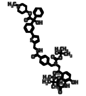 CN1CCC(OC(=O)C(O)(c2ccccc2)c2cccc(-c3ccc(CNC(=O)c4ccc(CN(C[C@H](O[Si](C)(C)C(C)(C)C)c5ccc(O)c6[nH]c(=O)ccc56)C(=O)OC(C)(C)C)cc4)s3)c2)CC1